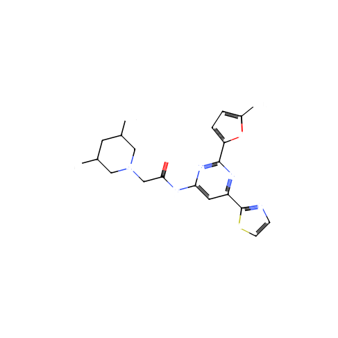 Cc1ccc(-c2nc(NC(=O)CN3CC(C)CC(C)C3)cc(-c3nccs3)n2)o1